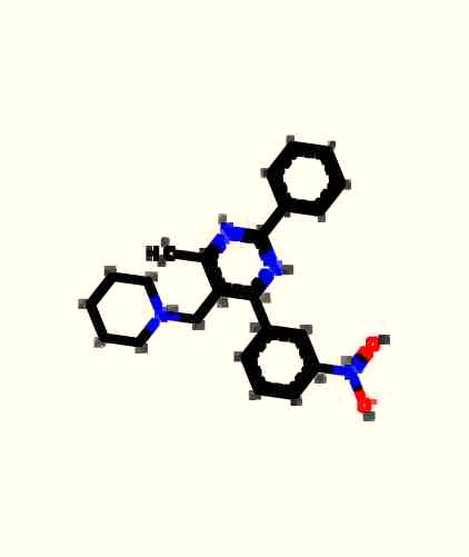 Cc1nc(-c2ccccc2)nc(-c2cccc([N+](=O)[O-])c2)c1CN1CCCCC1